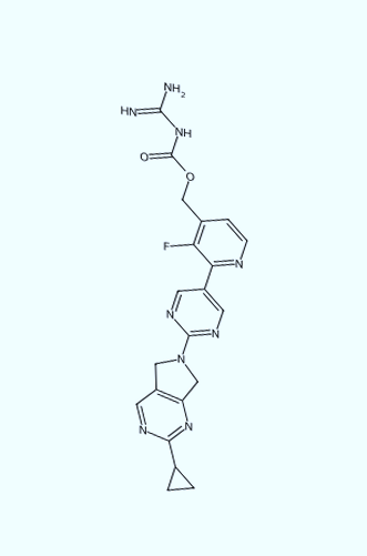 N=C(N)NC(=O)OCc1ccnc(-c2cnc(N3Cc4cnc(C5CC5)nc4C3)nc2)c1F